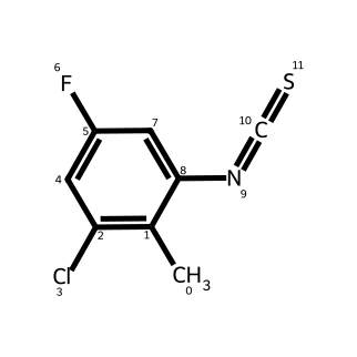 Cc1c(Cl)cc(F)cc1N=C=S